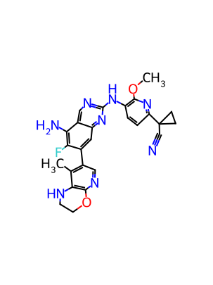 COc1nc(C2(C#N)CC2)ccc1Nc1ncc2c(N)c(F)c(-c3cnc4c(c3C)NCCO4)cc2n1